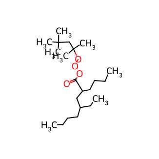 CCCCC(CC)CC(CCCC)C(=O)OOOC(C)(C)CC(C)(C)C